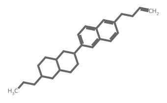 C=CCCc1ccc2cc(C3CCC4CC(CCC)CCC4C3)ccc2c1